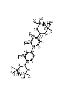 CC1(C)CC(c2ccc(-c3ccc(C4CC(C)(C)NC(C)(C)C4)c(F)c3F)cc2F)CC(C)(C)N1